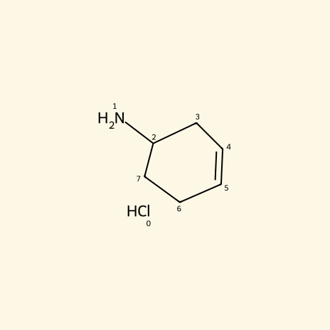 Cl.NC1CC=CCC1